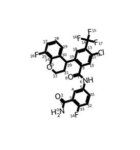 NC(=O)c1cc(NC(=O)c2cc(Cl)c(C(F)(F)F)cc2C2CCOc3c(F)cccc32)ccc1F